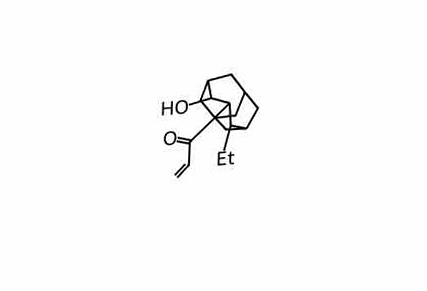 C=CC(=O)C1C(O)C2CC3CC(C2)CC(C3)C1CC